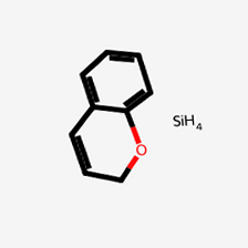 C1=Cc2ccccc2OC1.[SiH4]